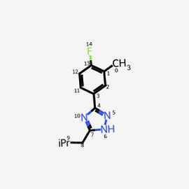 Cc1cc(-c2n[nH]c(CC(C)C)n2)ccc1F